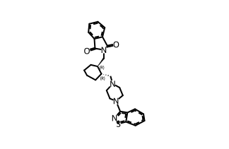 O=C1c2ccccc2C(=O)N1C[C@@H]1CCCC[C@H]1CN1CCN(c2nsc3ccccc23)CC1